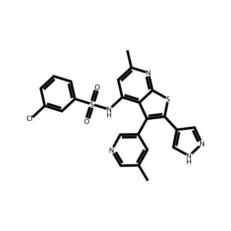 Cc1cncc(-c2c(-c3cn[nH]c3)sc3nc(C)cc(NS(=O)(=O)c4cccc(Cl)c4)c23)c1